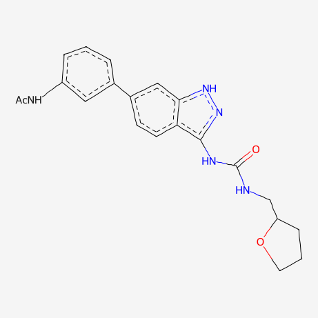 CC(=O)Nc1cccc(-c2ccc3c(NC(=O)NCC4CCCO4)n[nH]c3c2)c1